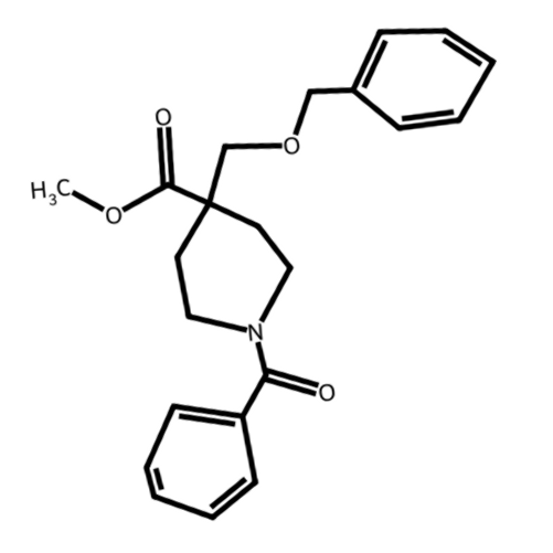 COC(=O)C1(COCc2ccccc2)CCN(C(=O)c2ccccc2)CC1